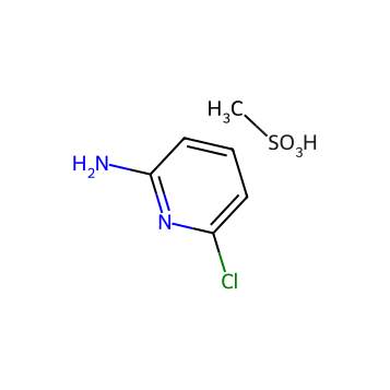 CS(=O)(=O)O.Nc1cccc(Cl)n1